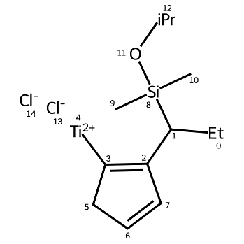 CCC(C1=[C]([Ti+2])CC=C1)[Si](C)(C)OC(C)C.[Cl-].[Cl-]